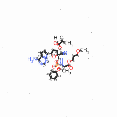 COCCCOC(=O)[C@H](C)NP(=O)(OC[C@@]1(C#N)O[C@@H](c2ccc3c(N)ncnn23)C[C@@H]1OC(=O)C(C)C)Oc1ccccc1